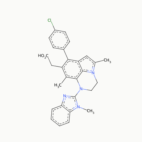 Cc1c(CC(=O)O)c(-c2ccc(Cl)cc2)c2cc(C)n3c2c1N(c1nc2ccccc2n1C)CC3